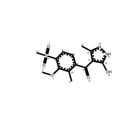 COc1c(S(C)(=O)=O)ccc(C(=O)c2c(C)n[nH]c2O)c1C